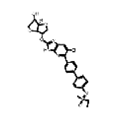 CCS(C)(=O)=Nc1ccc(-c2ccc(-c3nc4[nH]c(O[C@@H]5CO[C@H]6C5OC[C@H]6O)nc4cc3Cl)cc2)cc1